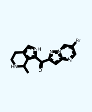 CC1NCCc2c[nH]c(C(=O)c3cc4ncc(Br)cn4n3)c21